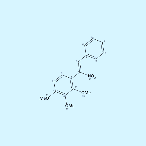 COc1ccc(C(=Cc2ccccc2)[N+](=O)[O-])c(OC)c1OC